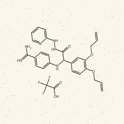 C=CCOc1ccc(C(Nc2ccc(C(=N)N)cc2)C(=O)NNc2ccccn2)cc1OCC=C.O=C(O)C(F)(F)F